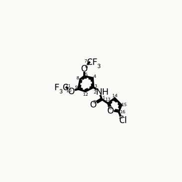 O=C(Nc1cc(OC(F)(F)F)cc(OC(F)(F)F)c1)c1ccc(Cl)o1